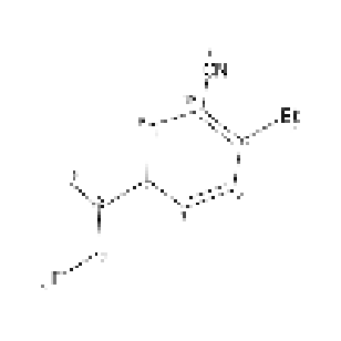 CCc1ccc([C](C)CF)cc1C#N